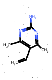 C=Cc1c(C)nc(N)nc1C